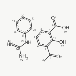 CC(=O)c1cccc(C(=O)O)c1O.N=C(N)Nc1ccccc1